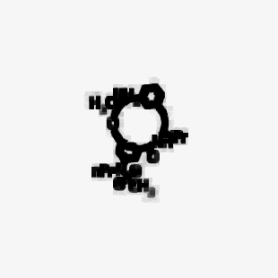 CCCN(c1cc2cc(c1)C(=O)NC(C(C)C)CCc1cccc(c1)CC(C)(N)COC2)S(C)(=O)=O